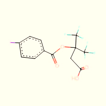 O=C(O)CC(OC(=O)c1ccc(I)cc1)(C(F)(F)F)C(F)(F)F